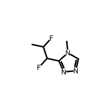 CC(F)C(F)c1nncn1C